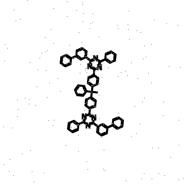 CC(c1ccccc1)(c1ccc(-c2nc(-c3ccccc3)nc(-c3cccc(-c4ccccc4)c3)n2)cc1)c1ccc(-c2nc(-c3ccccc3)nc(-c3cccc(-c4ccccc4)c3)n2)cc1